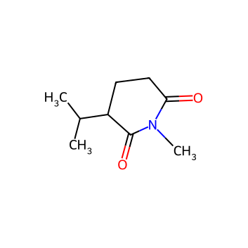 CC(C)C1CCC(=O)N(C)C1=O